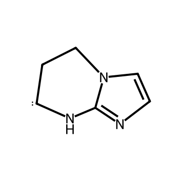 [C]1CCn2ccnc2N1